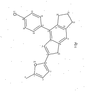 Cc1ccc(C2=Cc3c(cc4c(c3-c3ccc(Cl)cc3)CCC4)[CH]2)o1.[Zr]